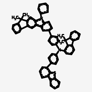 CC1(C)c2ccccc2-c2cc3c4cc(-c5ccc(N(c6ccc(-c7cccc8c7sc7ccccc78)cc6)c6cccc7c6C(C)(C)c6ccccc6-7)cc5)ccc4n(-c4ccccc4)c3cc21